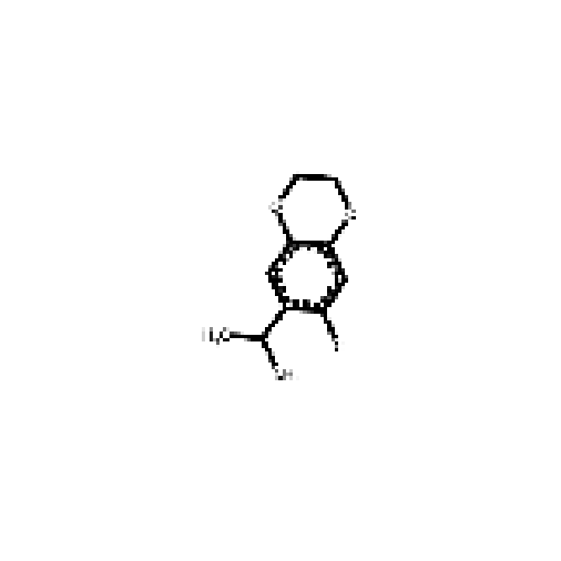 CC(C)c1cc2c(cc1Cl)OCCO2